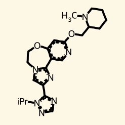 CC(C)n1ncnc1-c1cn2c(n1)-c1cnc(OCC3CCCCN3C)cc1OCC2